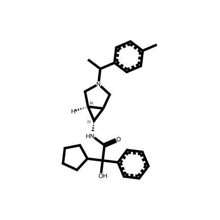 Cc1ccc(C(C)N2CC3[C@H](C2)[C@H]3NC(=O)C(O)(c2ccccc2)C2CCCC2)cc1